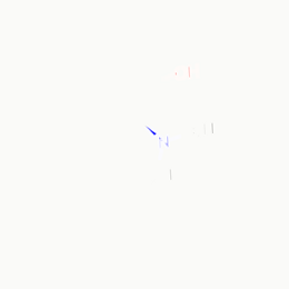 CN(C)[C@H]1CCCC[C@@H]1O